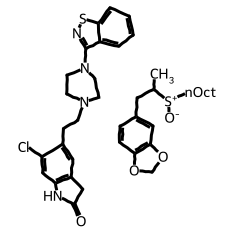 CCCCCCCC[S+]([O-])C(C)Cc1ccc2c(c1)OCO2.O=C1Cc2cc(CCN3CCN(c4nsc5ccccc45)CC3)c(Cl)cc2N1